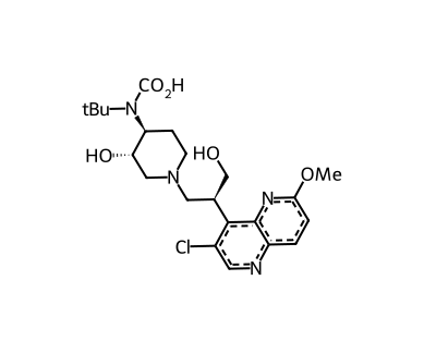 COc1ccc2ncc(Cl)c([C@H](CO)CN3CC[C@H](N(C(=O)O)C(C)(C)C)[C@@H](O)C3)c2n1